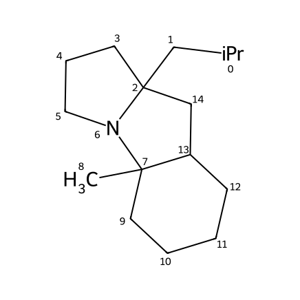 CC(C)CC12CCCN1C1(C)CCCCC1C2